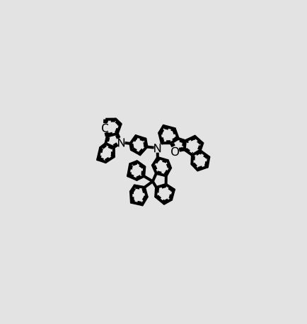 c1ccc(C2(c3ccccc3)c3ccccc3-c3ccc(N(c4ccc(-n5c6ccccc6c6ccccc65)cc4)c4cccc5c4oc4c6ccccc6ccc54)cc32)cc1